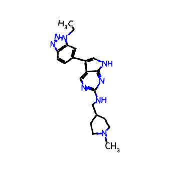 CCn1nnc2ccc(-c3c[nH]c4nc(NCC5CCN(C)CC5)ncc34)cc21